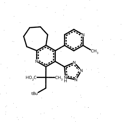 Cc1cc(-c2c3c(nc(C(C)(CC(C)(C)C)C(=O)O)c2-c2nnn[nH]2)CCCCC3)ccn1